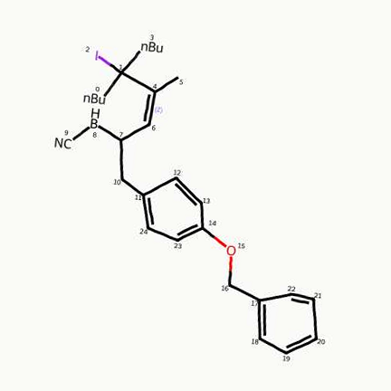 CCCCC(I)(CCCC)/C(C)=C\C(BC#N)Cc1ccc(OCc2ccccc2)cc1